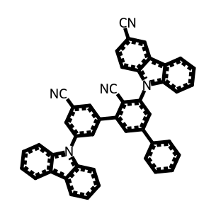 N#Cc1cc(-c2cc(-c3ccccc3)cc(-n3c4ccccc4c4cc(C#N)ccc43)c2C#N)cc(-n2c3ccccc3c3ccccc32)c1